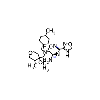 C/N=C(\N=C(\N)CN(CC1(OC)CCOCC1C)C[C@H]1CC[C@H](C)CC1)C1=NOCN1